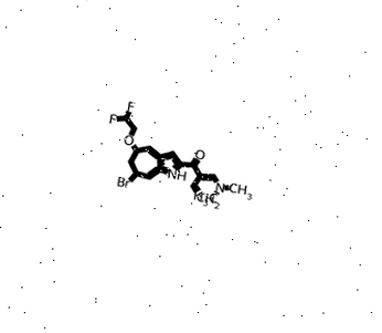 C=C/C(=C\N(C)C)C(=O)c1cc2c([nH]1)=CC(Br)CC(OCC(F)F)C=2